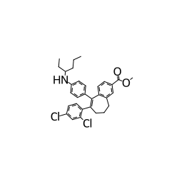 CCCC(CC)Nc1ccc(C2=C(c3ccc(Cl)cc3Cl)CCCc3cc(C(=O)OC)ccc32)cc1